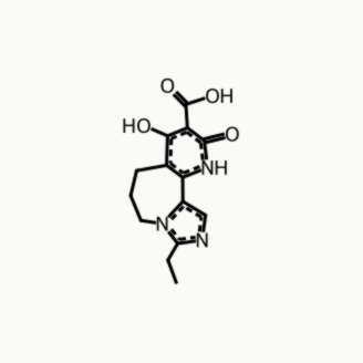 CCc1ncc2n1CCCc1c-2[nH]c(=O)c(C(=O)O)c1O